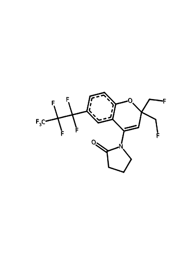 O=C1CCCN1C1=CC(CF)(CF)Oc2ccc(C(F)(F)C(F)(F)C(F)(F)F)cc21